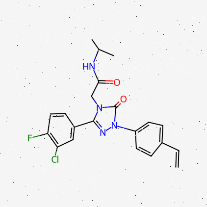 C=Cc1ccc(-n2nc(-c3ccc(F)c(Cl)c3)n(CC(=O)NC(C)C)c2=O)cc1